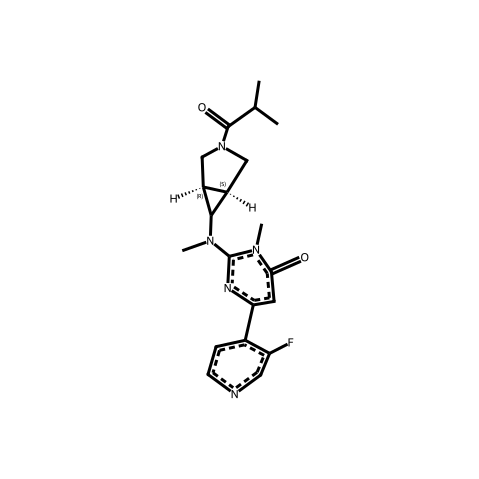 CC(C)C(=O)N1C[C@@H]2C(N(C)c3nc(-c4ccncc4F)cc(=O)n3C)[C@@H]2C1